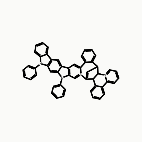 C1=C2C3c4ccccc4-c4cccc[n+]4C3C1c1ccccc1-c1cc3c4cc5c6ccccc6n(-c6ccccc6)c5cc4n(-c4ccccc4)c3c[n+]12